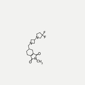 CN1C(=O)C2=C(CC(CN3CC(N4CCC(F)(F)C4)C3)CC2)C1=O